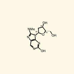 CNc1nc2cnc(O)nc2n1[C@H]1C[C@@H](O)[C@H](CO)O1